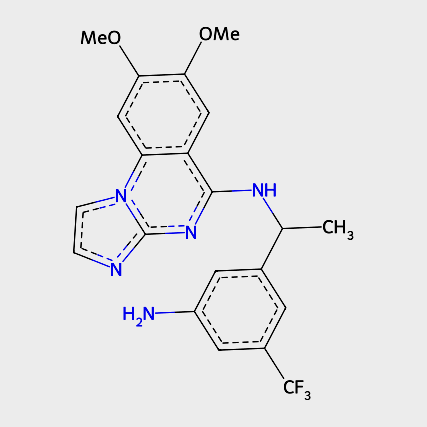 COc1cc2c(NC(C)c3cc(N)cc(C(F)(F)F)c3)nc3nccn3c2cc1OC